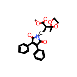 COC(=O)C(CCN1C(=O)C(c2ccccc2)=C(c2ccccc2)C1=O)C1(C)OCCO1